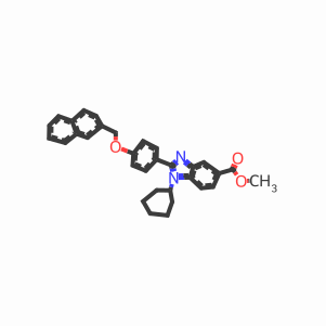 COC(=O)c1ccc2c(c1)nc(-c1ccc(OCc3ccc4ccccc4c3)cc1)n2C1CCCCC1